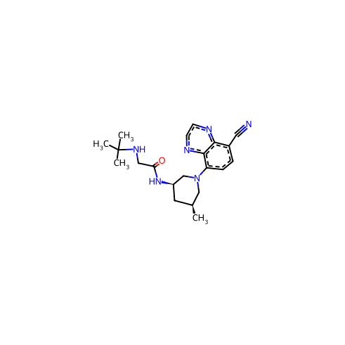 C[C@H]1C[C@@H](NC(=O)CNC(C)(C)C)CN(c2ccc(C#N)c3nccnc23)C1